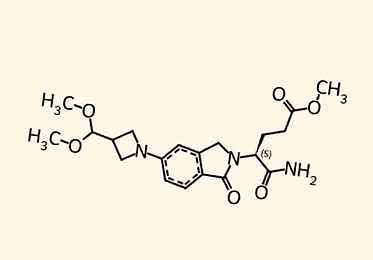 COC(=O)CC[C@@H](C(N)=O)N1Cc2cc(N3CC(C(OC)OC)C3)ccc2C1=O